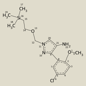 COc1ccc(Cl)cc1-c1nn(COCC[Si](C)(C)C)cc1N